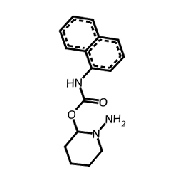 NN1CCCCC1OC(=O)Nc1cccc2ccccc12